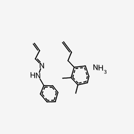 C=CC=NNc1ccccc1.C=CCc1cccc(C)c1C.N